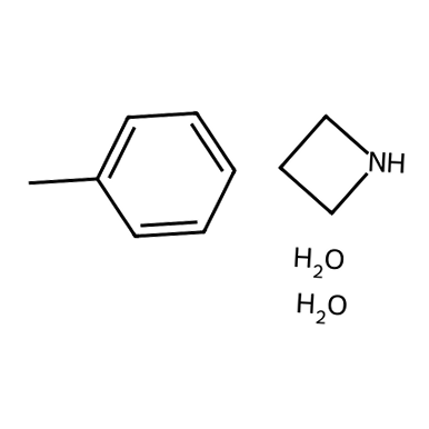 C1CNC1.Cc1ccccc1.O.O